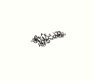 CC[C@@H]1c2ccc(C(=O)N[C@@H](CO)c3ccc(S(=O)(=O)CC)cn3)cc2CN1C(=O)OC(C)(C)C